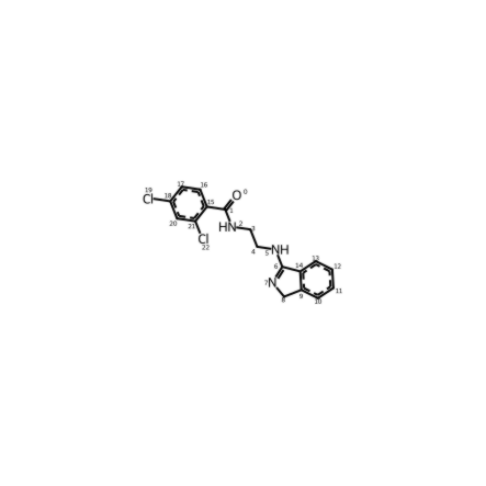 O=C(NCCNC1=NCc2ccccc21)c1ccc(Cl)cc1Cl